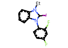 CCN1c2ccccc2N(c2ccc(F)cc2F)C1I